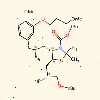 CCCCOC[C@@H](C[C@@H]1OC(C)(C)N(C(=O)OC(C)(C)C)[C@H]1C[C@H](Cc1ccc(OC)c(OCCCOC)c1)C(C)C)C(C)C